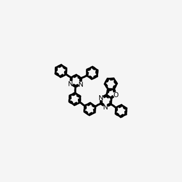 c1ccc(-c2cc(-c3ccccc3)nc(-c3cccc(-c4cccc(-c5nc(-c6ccccc6)c6oc7ccccc7c6n5)c4)c3)n2)cc1